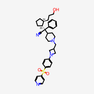 N#CC(c1ccccc1)(C1CCN(CC2CN(c3ccc(S(=O)(=O)c4ccncc4)cc3)C2)CC1)[C@@H]1CCC[C@H]1CCCO